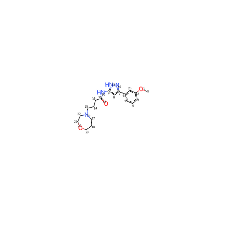 COc1cccc(-c2cc(NC(=O)CCCN3CCCOCC3)[nH]n2)c1